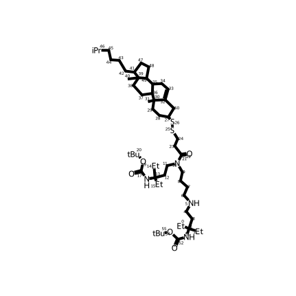 CCC(CC)(CCNCCCCN(CCC(CC)(CC)NC(=O)OC(C)(C)C)C(=O)CCSSC1CCC2(C)C(=CCC3C2CCC2(C)C(CCCCC(C)C)CCC32)C1)NC(=O)OC(C)(C)C